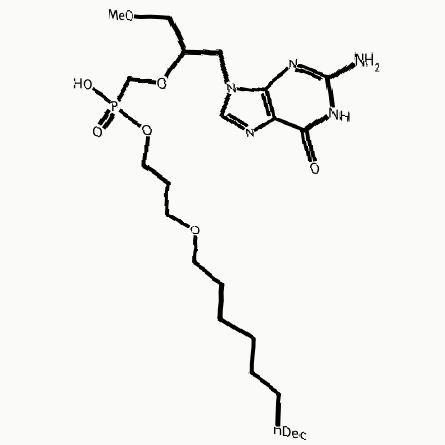 CCCCCCCCCCCCCCCCOCCCOP(=O)(O)COC(COC)Cn1cnc2c(=O)[nH]c(N)nc21